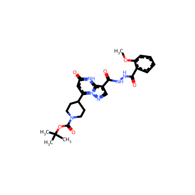 COc1ccccc1C(=O)NNC(=O)c1cnn2c(C3CCN(C(=O)OC(C)(C)C)CC3)cc(=O)[nH]c12